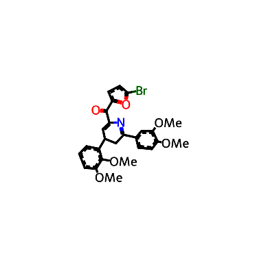 COc1ccc(C2=NC(C(=O)c3ccc(Br)o3)=CC(c3cccc(OC)c3OC)C2)cc1OC